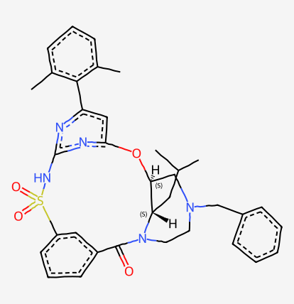 Cc1cccc(C)c1-c1cc2nc(n1)NS(=O)(=O)c1cccc(c1)C(=O)N1CCN(Cc3ccccc3)C[C@H](O2)[C@@H]1CC(C)C